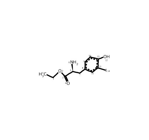 CCOC(=O)[C@@H](N)Cc1ccc(O)c(I)c1